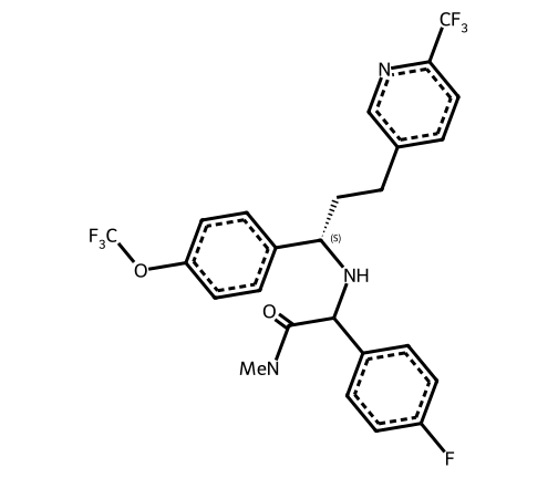 CNC(=O)C(N[C@@H](CCc1ccc(C(F)(F)F)nc1)c1ccc(OC(F)(F)F)cc1)c1ccc(F)cc1